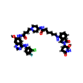 COc1cc2ncnc(Nc3ccc(F)c(Cl)c3)c2cc1NC(=O)/C=C/CN1CCC(NC(=O)CCCCCNc2cccc3c2CN(C2CCC(=O)NC2=O)C3=O)CC1